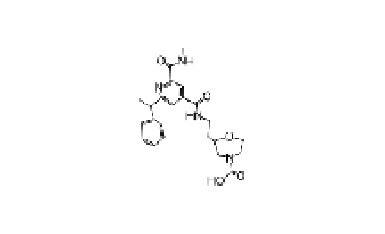 CNC(=O)c1cc(C(=O)NCCC2CN(C(=O)O)CCO2)cc(C(C)c2ccccc2)n1